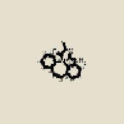 CCC(=O)[N+]1(C(N)=O)c2ccccc2C=Cc2ccccc21